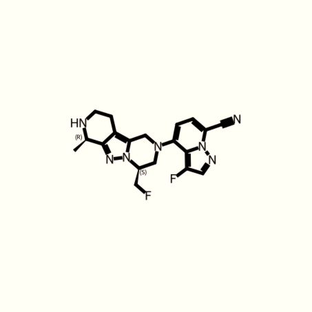 C[C@H]1NCCc2c1nn1c2CN(c2ccc(C#N)n3ncc(F)c23)C[C@H]1CF